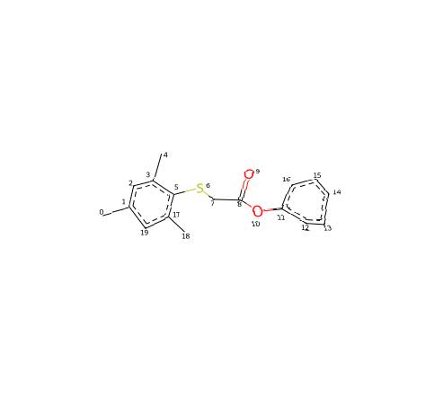 Cc1cc(C)c(SCC(=O)Oc2ccccc2)c(C)c1